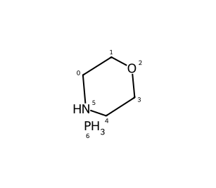 C1COCCN1.P